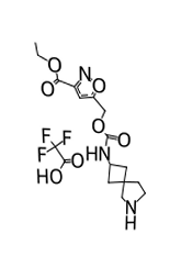 CCOC(=O)c1cc(COC(=O)NC2CC3(CCNC3)C2)on1.O=C(O)C(F)(F)F